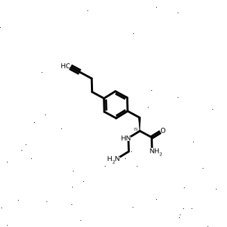 C#CCCc1ccc(C[C@H](NCN)C(N)=O)cc1